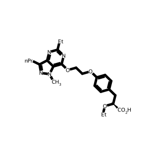 CCCc1nn(C)c2c(OCCOc3ccc(C[C@H](OCC)C(=O)O)cc3)nc(CC)nc12